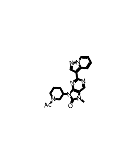 CC(=O)N1CCCC(n2c(=O)n(C)c3cnc(-c4cnn5ccccc45)nc32)C1